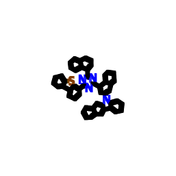 c1ccc2cc3c(cc2c1)c1ccccc1n3-c1cc(-c2nc(-c3cccc4ccccc34)nc(-c3cccc4c3sc3ccccc34)n2)c2ccccc2c1